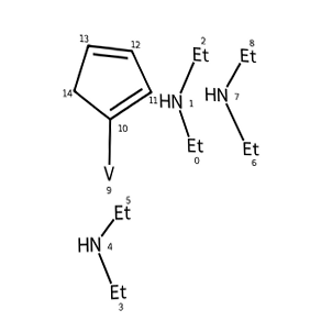 CCNCC.CCNCC.CCNCC.[V][C]1=CC=CC1